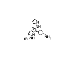 CC(C)(C)Nc1ncc2nc(Nc3ccccn3)n(C3CCC(CN)CC3)c2n1